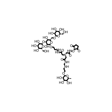 C[C@@H]1O[C@@H](OCCNCNC(=O)CN(CC(=O)NNCCO[C@H]2O[C@H](CO[C@H]3O[C@H](CO)[C@@H](O)[C@H](O)[C@@H]3O)[C@@H](O)[C@H](O[C@H]3O[C@H](CO)[C@@H](O)[C@H](O)[C@@H]3O)[C@@H]2O)CC(=O)NON2C(=O)CCC2=O)[C@@H](O)[C@H](O)[C@@H]1O